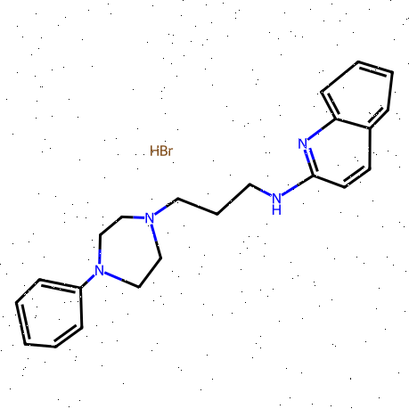 Br.c1ccc(N2CCN(CCCNc3ccc4ccccc4n3)CC2)cc1